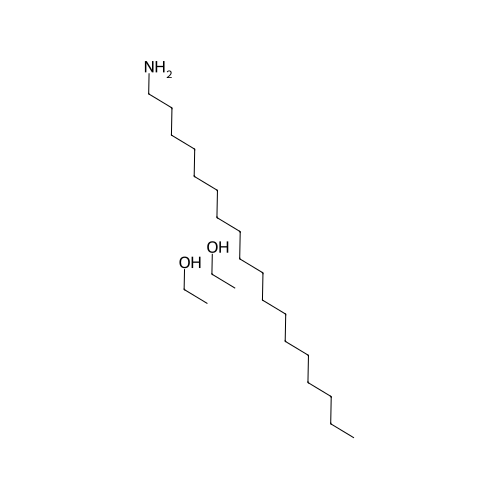 CCCCCCCCCCCCCCCCCCN.CCO.CCO